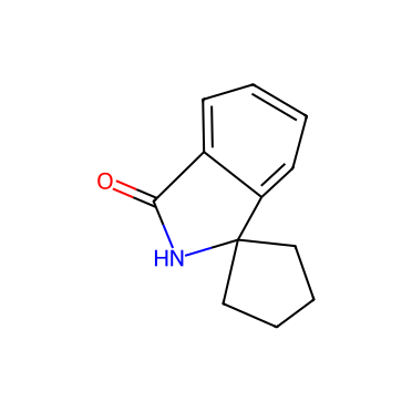 O=C1NC2(CCCC2)c2ccccc21